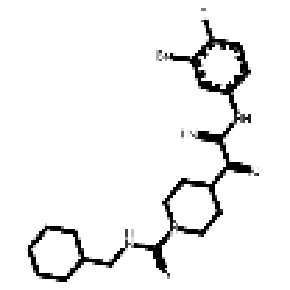 N=C(Nc1ccc(F)c(Br)c1)C(=O)C1CCN(C(=O)NCC2CCCCC2)CC1